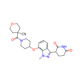 Cn1nc(C2CCC(=O)NC2=O)c2cccc(OC3CCN(C(=O)C4(C#N)CCOCC4)CC3)c21